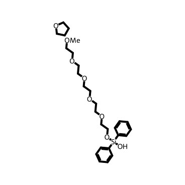 C1CCOC1.COCCOCCOCCOCCOCCO[Si](O)(c1ccccc1)c1ccccc1